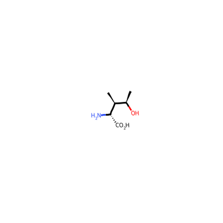 C[C@@H]([C@@H](C)O)[C@@H](N)C(=O)O